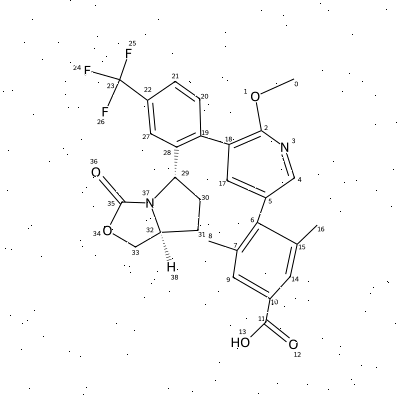 COc1ncc(-c2c(C)cc(C(=O)O)cc2C)cc1-c1ccc(C(F)(F)F)cc1[C@@H]1CC[C@H]2COC(=O)N21